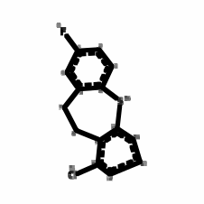 Fc1ccc2c(c1)CCc1c(Cl)cccc1S2